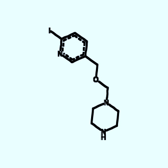 Ic1ccc(COCN2CCNCC2)cn1